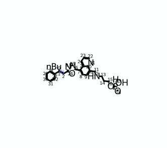 CCCC/C(=C\c1nnc(-c2ccc(CNCCCO[PH](=O)O)c3ncccc23)o1)c1ccccc1